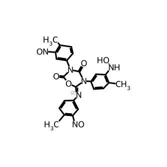 Cc1ccc(/N=c2\oc(=O)n(-c3ccc(C)c(N=O)c3)c(=O)n2-c2ccc(C)c(NO)c2)cc1N=O